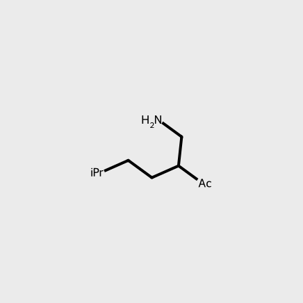 CC(=O)C(CN)CCC(C)C